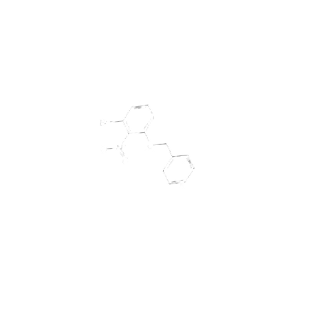 O=[N+]([O-])c1c(Br)cccc1OCc1ccccc1